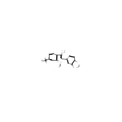 CCn1c(-c2ccc3c(c2)OCO3)c(N)c2ccc(C(F)(F)F)cc21